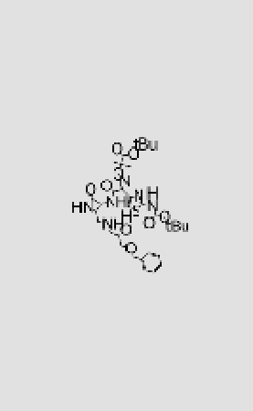 CC(C)(C)OC(=O)Nc1nc(/C(=N/OC(C)(C)C(=O)OC(C)(C)C)C(=O)N[C@@H]2C(=O)N[C@@H]2CNCC(O)COCc2ccccc2)cs1